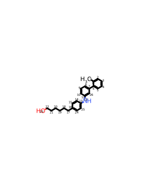 Cc1ccccc1-c1cccc(Nc2ccc(CCCCCCO)cc2)c1